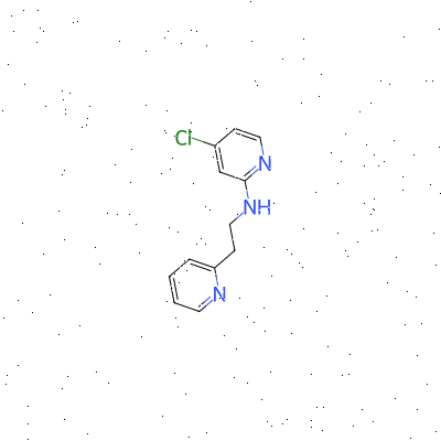 Clc1ccnc(NCCc2ccccn2)c1